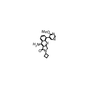 COc1ncncc1-c1cccc2c(N)c3c(nc12)CN(C1CCC1)C3=O